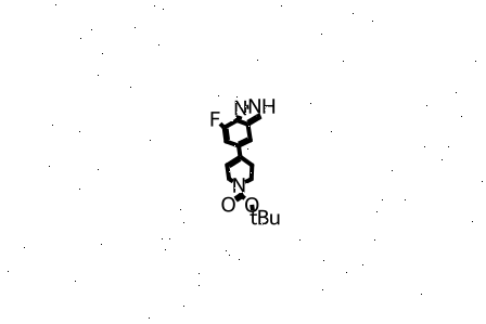 CC(C)(C)OC(=O)N1CC=C(c2cc(F)c3n[nH]cc3c2)CC1